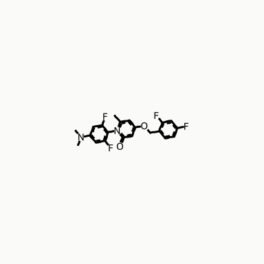 Cc1cc(OCc2ccc(F)cc2F)cc(=O)n1-c1c(F)cc(N(C)C)cc1F